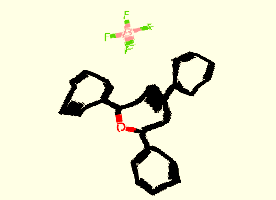 C1=C(c2ccccc2)C=C(c2ccccc2)OC1c1ccccc1.F[B-](F)(F)F